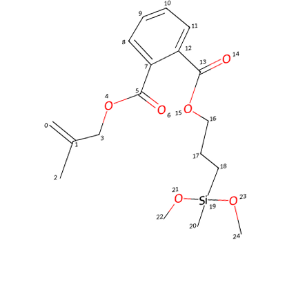 C=C(C)COC(=O)c1ccccc1C(=O)OCCC[Si](C)(OC)OC